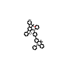 CC1(C)c2ccccc2N(c2ccccc2)c2ccc(-c3ccc(N(c4ccccc4)c4c5c(cc6c4oc4ccccc46)-c4ccncc4C5(C)C)cc3)cc21